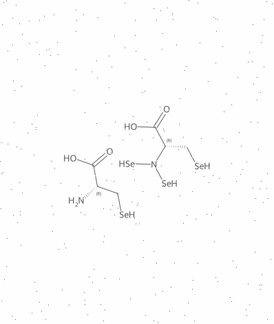 N[C@@H](C[SeH])C(=O)O.O=C(O)[C@H](C[SeH])N([SeH])[SeH]